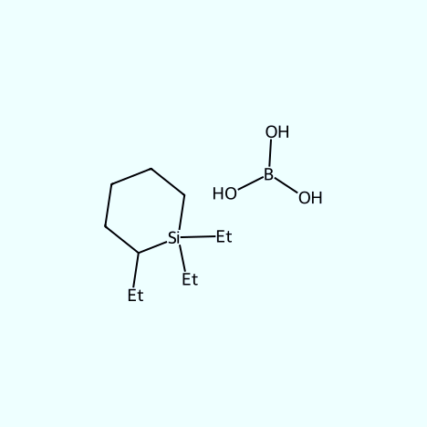 CCC1CCCC[Si]1(CC)CC.OB(O)O